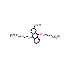 CCCCCc1ccc2c(OCCCCC(=O)OCC)c3ccccc3c(OCCCCC(=O)OCC)c2c1